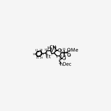 CCCCCCCCCCSC(=O)C(CC(CC(C#N)CC(CC)c1ccccc1)C(N)=O)CC(C)(C)C(=O)OC